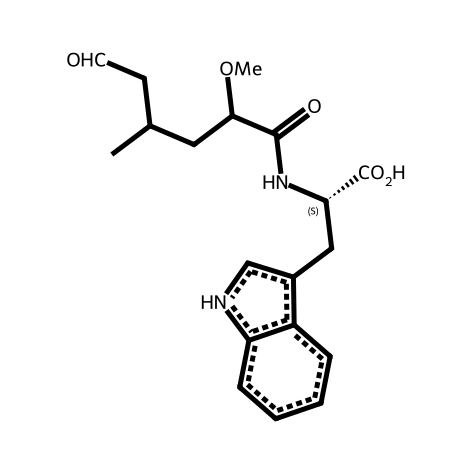 COC(CC(C)CC=O)C(=O)N[C@@H](Cc1c[nH]c2ccccc12)C(=O)O